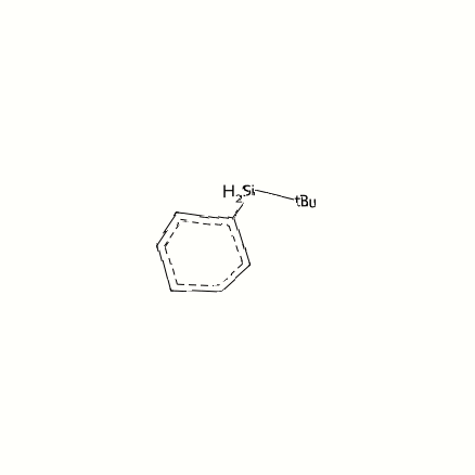 CC(C)(C)[SiH2]c1ccccc1